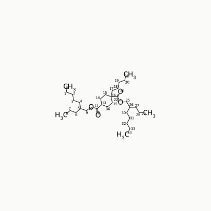 CCCCCC(CCC)COC(=O)C1CCC(CCCCC)(C(=O)OCC(CCC)CCCCC)CC1